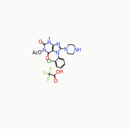 CC(=O)On1c(=O)c2c(nc(N3CCNCC3)n2-c2ccccc2Cl)n(C)c1=O.O=C(O)C(F)(F)F